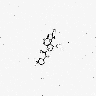 O=C(N[C@H]1CCC(F)(F)C1)N1C[C@@H](C(F)(F)F)c2c1cnc1cc(Cl)nn21